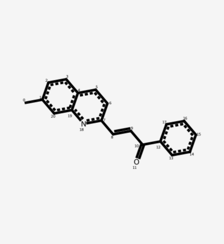 Cc1ccc2ccc(/C=C/C(=O)c3ccccc3)nc2c1